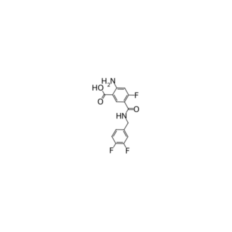 Nc1cc(F)c(C(=O)NCc2ccc(F)c(F)c2)cc1C(=O)O